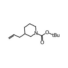 C=CCC1CCCN(C(=O)OC(C)(C)C)C1